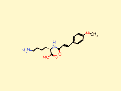 COc1ccc(C=CC(=O)N[C@@H](CCCCN)C(=O)O)cc1